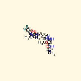 COc1cc(Nc2ncc3cc(/C=C/CNC(=O)c4c(C)n(C)n(Cc5ccc(F)c(F)c5)c4=O)ccc3n2)ccc1C(=O)NC1CCN(C)CC1